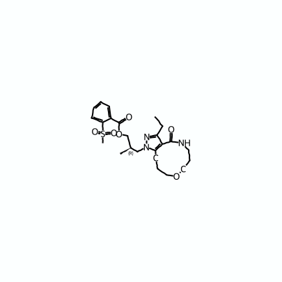 CCc1nn(C[C@@H](C)COC(=O)c2ccccc2S(C)(=O)=O)c2c1C(=O)NCCCOCCC2